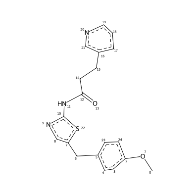 COc1ccc(Cc2cnc(NC(=O)CCc3cccnc3)s2)cc1